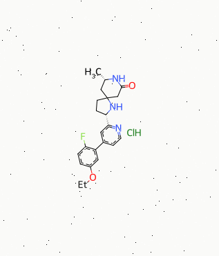 CCOc1ccc(F)c(-c2ccnc([C@@H]3CCC4(CC(=O)N[C@@H](C)C4)N3)c2)c1.Cl